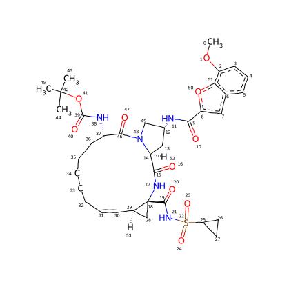 COc1cccc2cc(C(=O)N[C@@H]3C[C@H]4C(=O)N[C@]5(C(=O)NS(=O)(=O)C6CC6)C[C@H]5/C=C\CCCCC[C@H](NC(=O)OC(C)(C)C)C(=O)N4C3)oc12